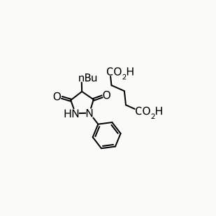 CCCCC1C(=O)NN(c2ccccc2)C1=O.O=C(O)CCCC(=O)O